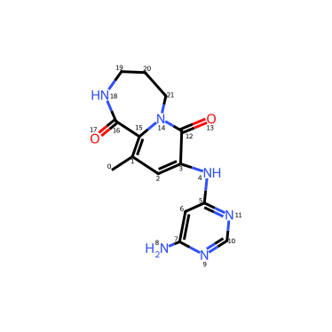 Cc1cc(Nc2cc(N)ncn2)c(=O)n2c1C(=O)NCCC2